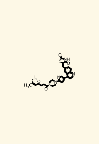 CC(C)=CC(=O)CCC(=O)N1CCN(c2ccc(-c3ccnc4ccc(C=C5SC(=O)NC5=O)cc34)cn2)CC1